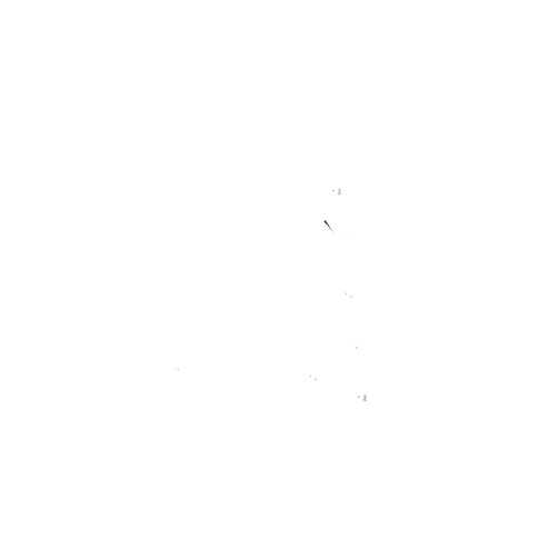 Nc1nc(-c2ccc(N)c(F)c2)cc(N2CCC[C@H](C(=O)Nc3ccccc3)C2)n1